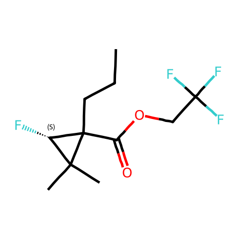 CCCC1(C(=O)OCC(F)(F)F)[C@@H](F)C1(C)C